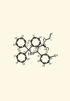 CCOC(=O)CC(NC(c1ccccc1)(c1ccccc1)c1ccccc1)c1cccc(I)c1